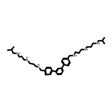 CC(C)CNCCCNCCCNCc1ccc(-c2cccc(-c3ccc(CNCCCNCCCNCC(C)C)cc3)c2)cc1